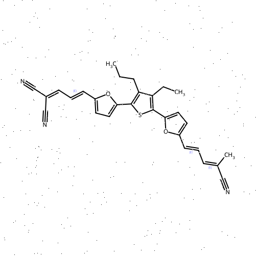 CCCc1c(-c2ccc(/C=C/C=C(C#N)C#N)o2)sc(-c2ccc(/C=C/C=C(\C)C#N)o2)c1CC